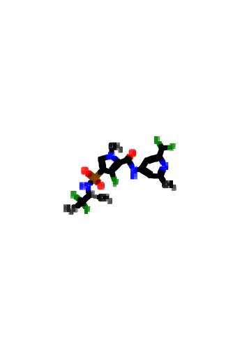 Cc1cc(NC(=O)c2c(F)c(S(=O)(=O)N[C@H](C)C(C)(F)F)cn2C)cc(C(F)F)n1